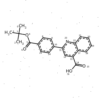 CC(C)(C)OC(=O)c1ccc(-c2cc(C(=O)O)c3ccccc3n2)cc1